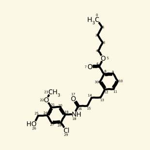 CCCCCOC(=O)c1cccc(CCCC(=O)Nc2cc(OC)c(CO)cc2Cl)c1